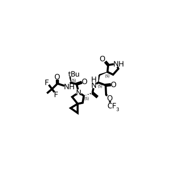 C=C(N[C@@H](C[C@@H]1CCNC1=O)C(=O)COC(F)(F)F)[C@@H]1CC2(CC2)CN1C(=O)[C@@H](NC(=O)C(C)(F)F)C(C)(C)C